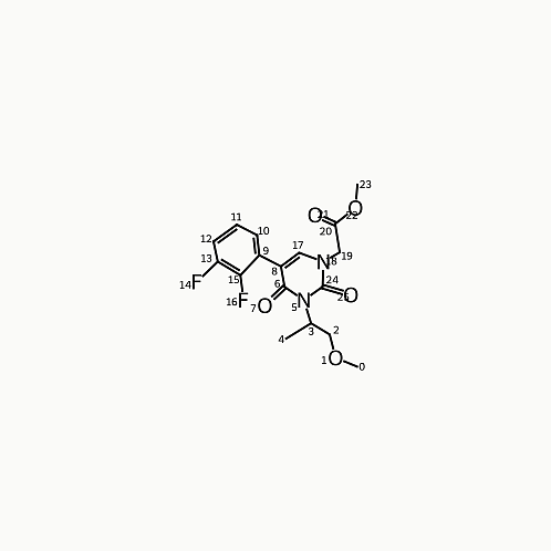 COCC(C)n1c(=O)c(-c2cccc(F)c2F)cn(CC(=O)OC)c1=O